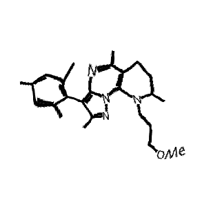 COCCCN1c2c(c(C)nc3c(-c4c(C)cc(C)cc4C)c(C)nn23)CCC1C